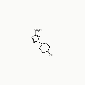 CCOC(=O)c1cnn(C2CCC(O)CC2)c1